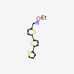 CCON=Cc1ccc(-c2ccc(-c3cccs3)s2)s1